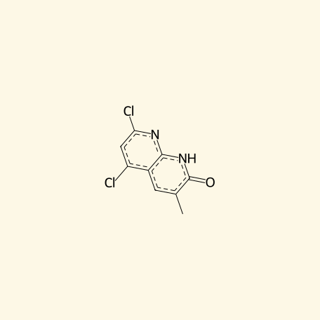 Cc1cc2c(Cl)cc(Cl)nc2[nH]c1=O